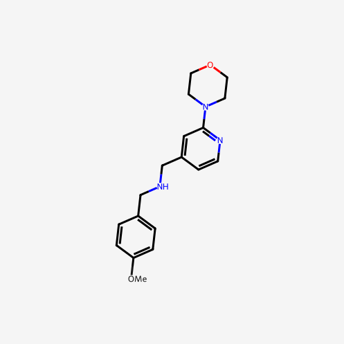 COc1ccc(CNCc2ccnc(N3CCOCC3)c2)cc1